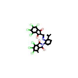 C=C(C)c1cccc(N2C(=O)c3c(C)c(Cl)c(Cl)c(Cl)c3C2=O)c1/N=C(\C)C1C(=O)c2c(Cl)c(Cl)c(Cl)c(Cl)c2C1=O